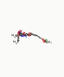 C=C(Cl)C(=O)OCCCCCCCCCCC1COC(c2ccc(OC(=O)c3cc([N+](=O)[O-])c(OC(C)CCCCCC)cc3N)cc2)OC1